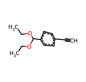 C#Cc1ccc(C(OCC)OCC)cc1